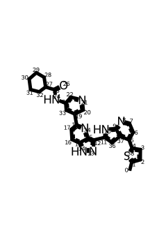 Cc1ccc(-c2ccnc3[nH]c(-c4n[nH]c5ccc(-c6cncc(NC(=O)C7CCCCC7)c6)nc45)cc23)s1